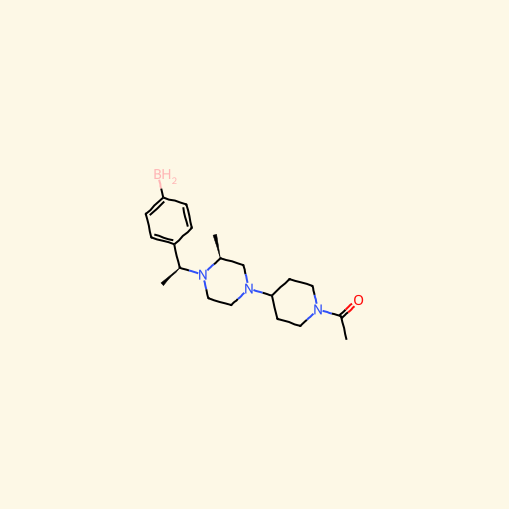 Bc1ccc([C@H](C)N2CCN(C3CCN(C(C)=O)CC3)C[C@@H]2C)cc1